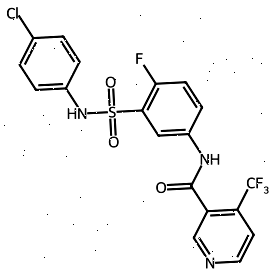 O=C(Nc1ccc(F)c(S(=O)(=O)Nc2ccc(Cl)cc2)c1)c1cnccc1C(F)(F)F